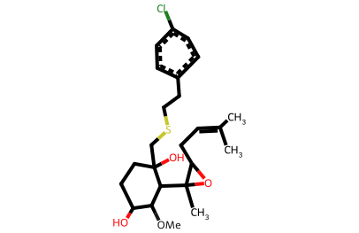 COC1C(O)CCC(O)(CSCCc2ccc(Cl)cc2)C1C1(C)OC1CC=C(C)C